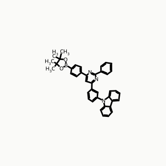 CC1(C)OB(c2ccc(-c3cc(-c4cccc(-n5c6ccccc6c6ccccc65)c4)nc(-c4ccccc4)n3)cc2)OC1(C)C